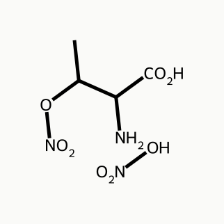 CC(O[N+](=O)[O-])C(N)C(=O)O.O=[N+]([O-])O